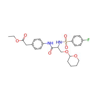 CCOC(=O)Cc1ccc(NC(=O)C(COC2CCCCO2)NS(=O)(=O)c2ccc(F)cc2)cc1